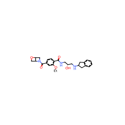 CCOc1cc(C(=O)N2CC3OCC32)ccc1C(=O)NC[C@@H](O)CNC1Cc2ccccc2C1